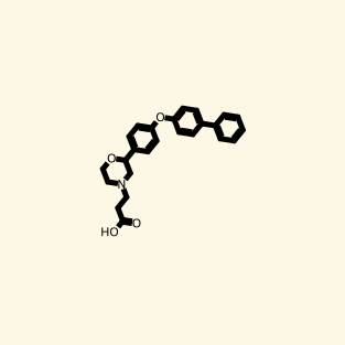 O=C(O)CCN1CCOC(c2ccc(Oc3ccc(-c4ccccc4)cc3)cc2)C1